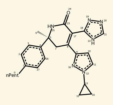 CCCCCc1ccc([C@]2(C)CC(c3ccn(C4CC4)n3)=C(c3nnc[nH]3)C(=O)N2)cc1